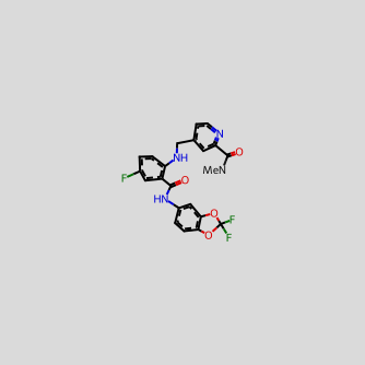 CNC(=O)c1cc(CNc2ccc(F)cc2C(=O)Nc2ccc3c(c2)OC(F)(F)O3)ccn1